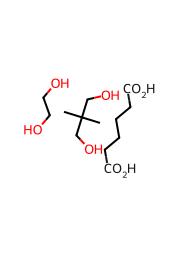 CC(C)(CO)CO.O=C(O)CCCCC(=O)O.OCCO